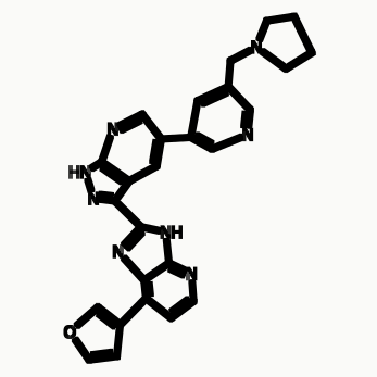 c1cc(-c2ccoc2)c2nc(-c3n[nH]c4ncc(-c5cncc(CN6CCCC6)c5)cc34)[nH]c2n1